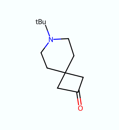 CC(C)(C)N1CCC2(CC1)CC(=O)C2